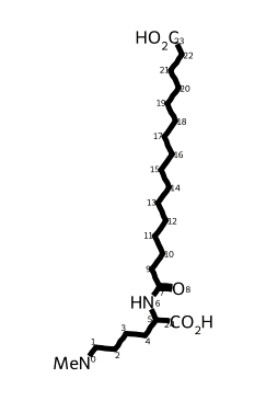 CNCCCCC(NC(=O)CCCCCCCCCCCCCCC(=O)O)C(=O)O